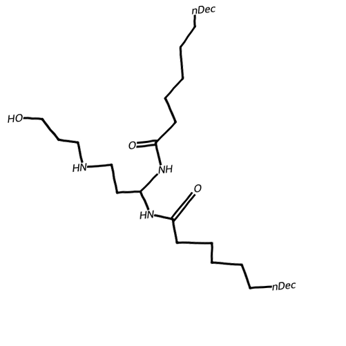 CCCCCCCCCCCCCCCC(=O)NC(CCNCCCO)NC(=O)CCCCCCCCCCCCCCC